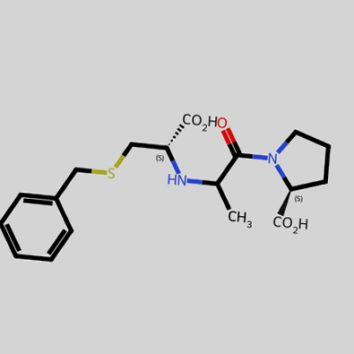 CC(N[C@H](CSCc1ccccc1)C(=O)O)C(=O)N1CCC[C@H]1C(=O)O